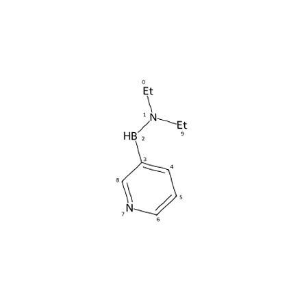 CCN(Bc1cccnc1)CC